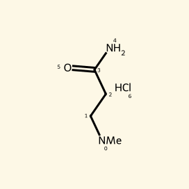 CNCCC(N)=O.Cl